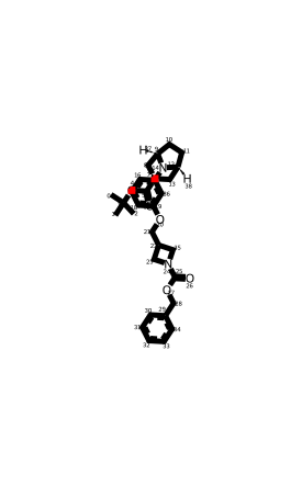 CC(C)(C)OC(=O)N1C[C@H]2CC[C@@H](C1)N2c1cccc(OCC2CN(C(=O)OCc3ccccc3)C2)c1